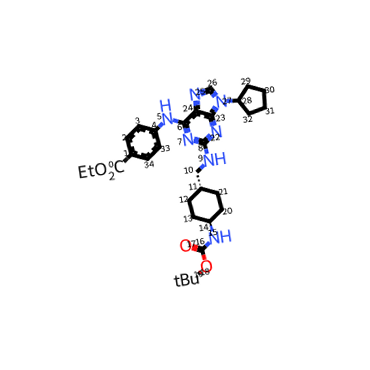 CCOC(=O)c1ccc(Nc2nc(NC[C@H]3CC[C@H](NC(=O)OC(C)(C)C)CC3)nc3c2ncn3C2CCCC2)cc1